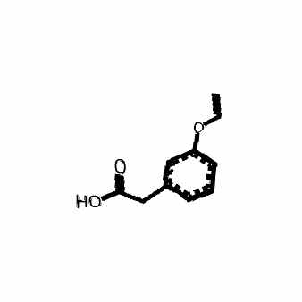 C=COc1cccc(CC(=O)O)c1